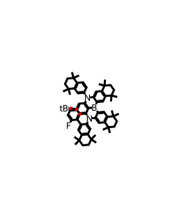 CC(C)(C)c1cc2c3c(c1)N(c1cc4c(cc1-c1ccccc1F)C(C)(C)CCC4(C)C)c1cc4c(cc1B3c1cc3c(cc1N2c1ccc2c(c1)C(C)(C)CCC2(C)C)C(C)(C)CCC3(C)C)C(C)(C)CCC4(C)C